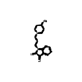 CCCCC1CCN(CCCN2C(=O)C(=O)c3ccccc32)CC1